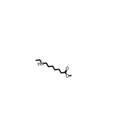 CCNCCCCCCC(=O)OC